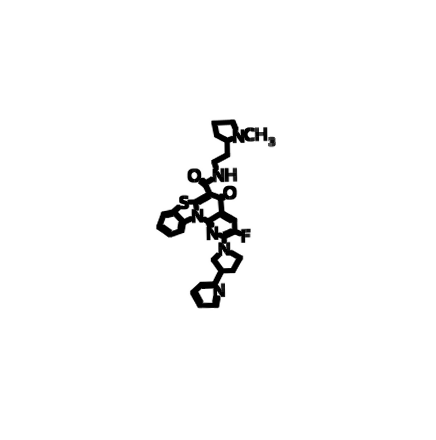 CN1CCCC1CCNC(=O)c1c(=O)c2cc(F)c(N3CCC(c4ccccn4)C3)nc2n2c1sc1ccccc12